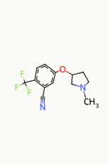 CN1CCC(Oc2ccc(C(F)(F)F)c(C#N)c2)C1